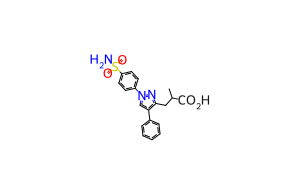 CC(Cc1nn(-c2ccc(S(N)(=O)=O)cc2)cc1-c1ccccc1)C(=O)O